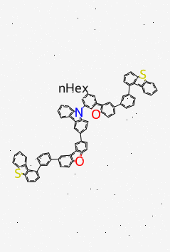 CCCCCCc1cc(-n2c3ccccc3c3cc(-c4ccc5oc6ccc(-c7cccc(-c8cccc9sc%10ccccc%10c89)c7)cc6c5c4)ccc32)c2oc3ccc(-c4cccc(-c5cccc6sc7ccccc7c56)c4)cc3c2c1